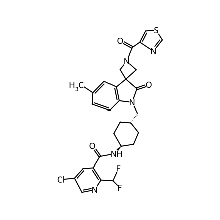 Cc1ccc2c(c1)C1(CN(C(=O)c3cscn3)C1)C(=O)N2C[C@H]1CC[C@H](NC(=O)c2cc(Cl)cnc2C(F)F)CC1